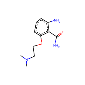 CN(C)CCOc1cccc(N)c1C(N)=O